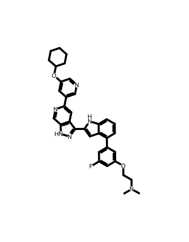 CN(C)CCOc1cc(F)cc(-c2cccc3[nH]c(-c4n[nH]c5cnc(-c6cncc(OC7CCCCC7)c6)cc45)cc23)c1